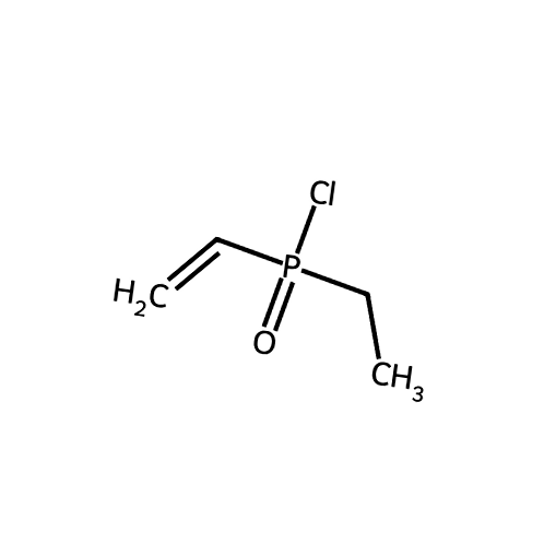 C=CP(=O)(Cl)CC